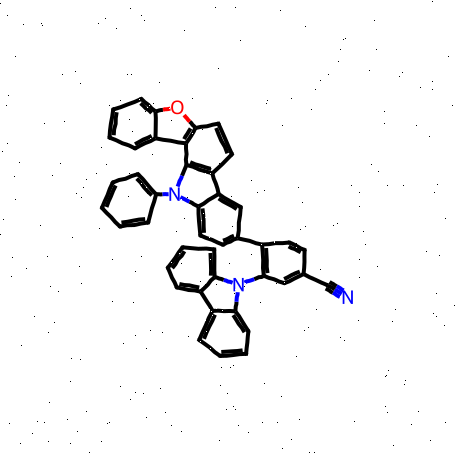 N#Cc1ccc(-c2ccc3c(c2)c2ccc4oc5ccccc5c4c2n3-c2ccccc2)c(-n2c3ccccc3c3ccccc32)c1